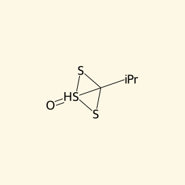 CC(C)C12S[SH]1(=O)S2